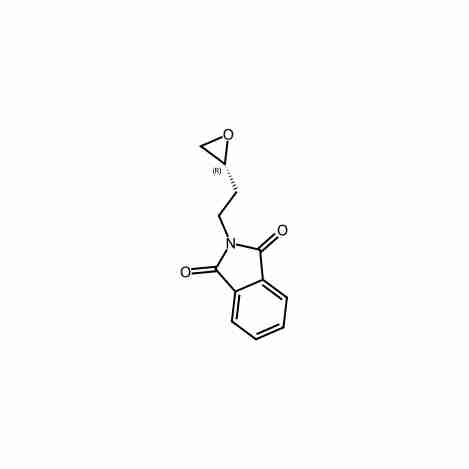 O=C1c2ccccc2C(=O)N1CC[C@@H]1CO1